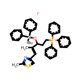 CC(=Cc1csc(C)n1)C(CC[P+](c1ccccc1)(c1ccccc1)c1ccccc1)O[Si](c1ccccc1)(c1ccccc1)C(C)(C)C.[I-]